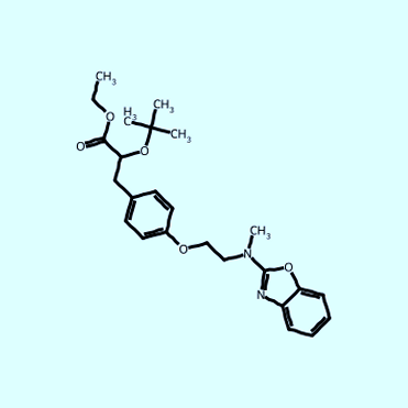 CCOC(=O)C(Cc1ccc(OCCN(C)c2nc3ccccc3o2)cc1)OC(C)(C)C